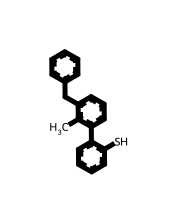 Cc1c(Cc2ccccc2)cccc1-c1ccccc1S